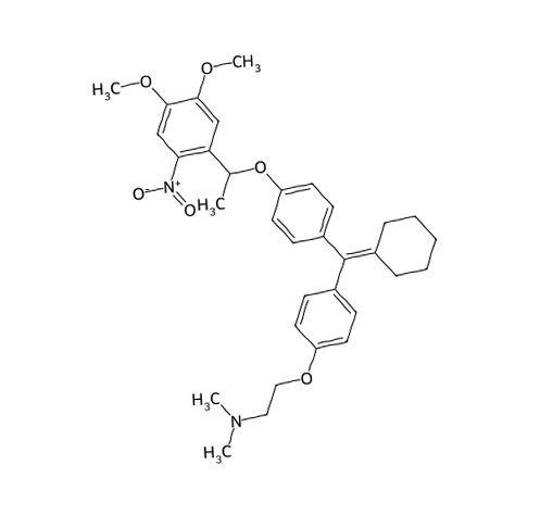 COc1cc(C(C)Oc2ccc(C(=C3CCCCC3)c3ccc(OCCN(C)C)cc3)cc2)c([N+](=O)[O-])cc1OC